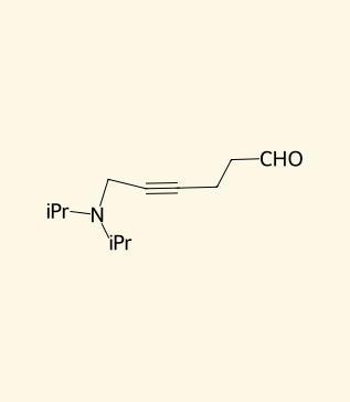 CC(C)N(CC#CCCC=O)C(C)C